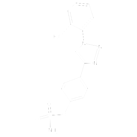 NS(=O)(=O)Oc1ccc(-c2cn(-c3ccccc3C(F)(F)F)nn2)cc1